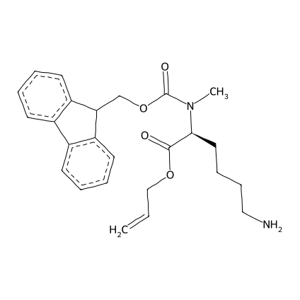 C=CCOC(=O)[C@H](CCCCN)N(C)C(=O)OCC1c2ccccc2-c2ccccc21